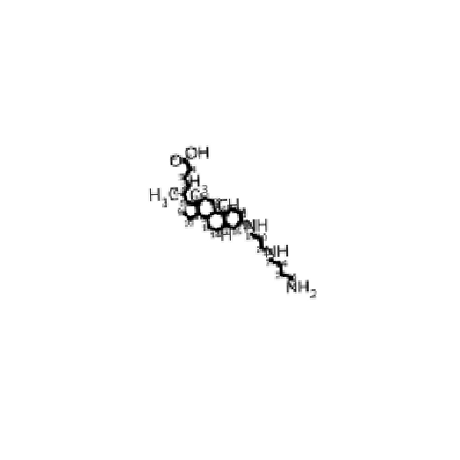 C[C@H](CCCC(=O)O)[C@H]1CCC2C3CC[C@H]4C[C@@H](NCCCNCCCCN)CC[C@]4(C)C3CC[C@@]21C